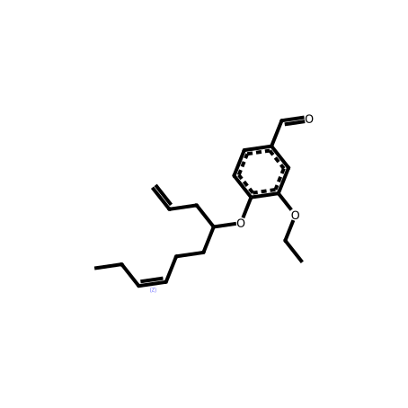 C=CCC(CC/C=C\CC)Oc1ccc(C=O)cc1OCC